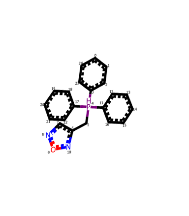 c1ccc([PH](Cc2cnon2)(c2ccccc2)c2ccccc2)cc1